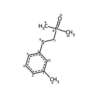 Cc1cccc(SCP(C)(C)=O)c1